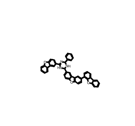 c1ccc(C2N=C(c3ccc4oc5ccccc5c4c3)NC(c3ccc4oc5ccc(-c6cccc7c6oc6ccccc67)cc5c4c3)N2)cc1